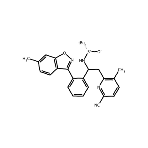 Cc1ccc2c(-c3ccccc3C(Cc3nc(C#N)ccc3C)N[S@@+]([O-])C(C)(C)C)noc2c1